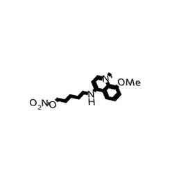 COc1cccc2c(NCCCCCO[N+](=O)[O-])cc[n+](C)c12